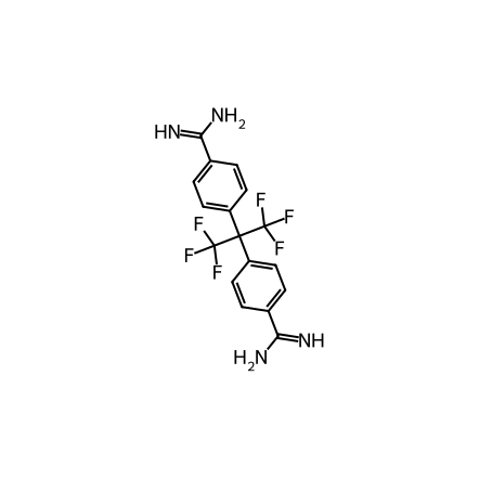 N=C(N)c1ccc(C(c2ccc(C(=N)N)cc2)(C(F)(F)F)C(F)(F)F)cc1